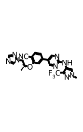 C[C@@H](Cn1cncn1)Oc1cc(-c2cnc(Nc3cn(C)nc3C(F)(F)F)nc2)ccc1C#N